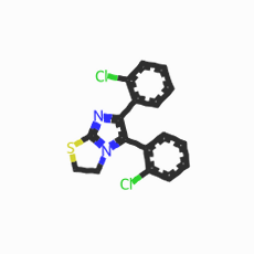 Clc1ccccc1-c1nc2n(c1-c1ccccc1Cl)CCS2